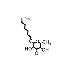 CCCCCCCCCCCCCCCCO[C@H]1O[C@H](C)[C@@H](O)[C@H](O)[C@@H]1O